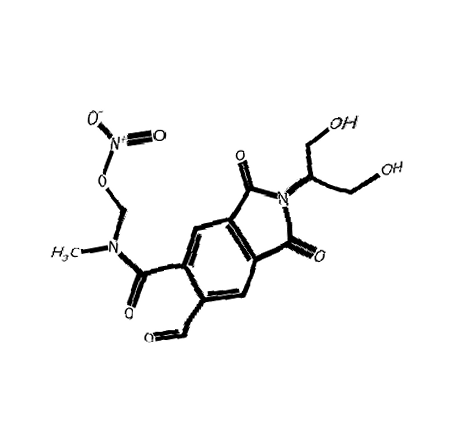 CN(CO[N+](=O)[O-])C(=O)c1cc2c(cc1C=O)C(=O)N(C(CO)CO)C2=O